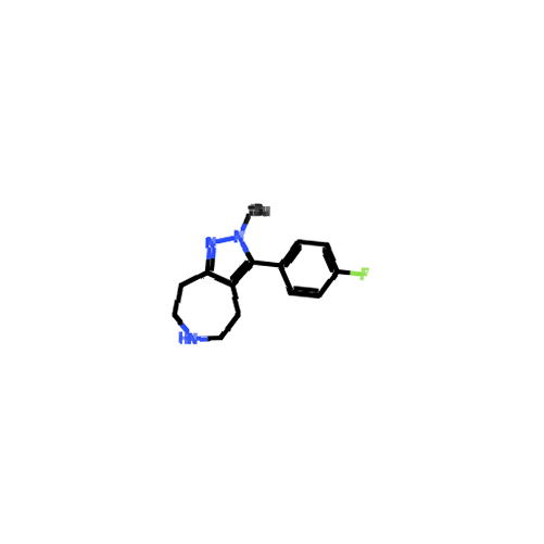 CC(C)(C)n1nc2c(c1-c1ccc(F)cc1)CCNCC2